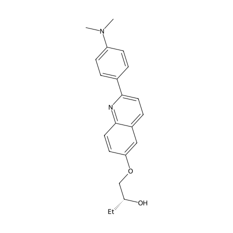 CC[C@@H](O)COc1ccc2nc(-c3ccc(N(C)C)cc3)ccc2c1